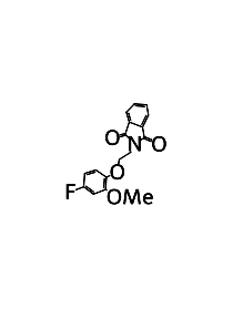 COc1cc(F)ccc1OCCN1C(=O)c2ccccc2C1=O